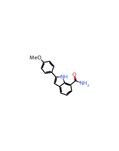 COc1ccc(-c2cc3cccc(C(N)=O)c3[nH]2)cc1